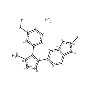 CCc1cccc(-c2c(-c3ccc4nn(C)cc4c3)nsc2N)n1.Cl